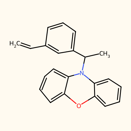 C=Cc1cccc(C(C)N2c3ccccc3Oc3ccccc32)c1